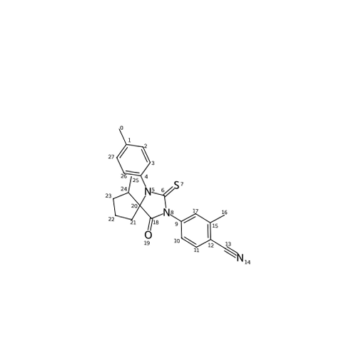 Cc1ccc(N2C(=S)N(c3ccc(C#N)c(C)c3)C(=O)C23CCCC3C)cc1